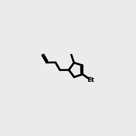 C=CCCC1CC(CC)=CC1C